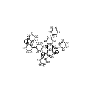 c1ccc(-c2ccc(N(c3ccc(-c4cccc5oc6ccccc6c45)cc3)c3c4nc(-c5ccccc5)oc4cc4c3oc3ccccc34)cc2)cc1